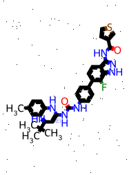 Cc1ccc(N/C(=C\C(=N)C(C)(C)C)NC(=O)Nc2ccc(-c3ccc4c(NC(=O)c5ccsc5)n[nH]c4c3F)cc2)cc1